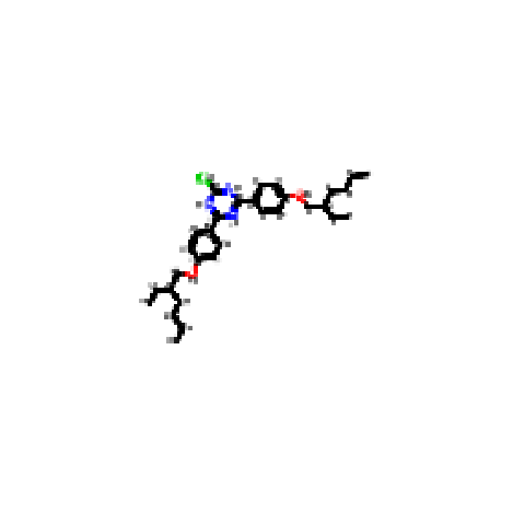 CCCCC(CC)COc1ccc(-c2nc(Cl)nc(-c3ccc(OCC(CC)CCCC)cc3)n2)cc1